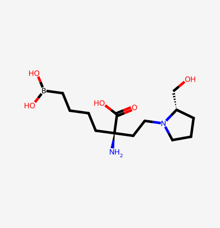 N[C@](CCCCB(O)O)(CCN1CCC[C@H]1CO)C(=O)O